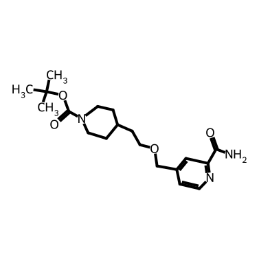 CC(C)(C)OC(=O)N1CCC(CCOCc2ccnc(C(N)=O)c2)CC1